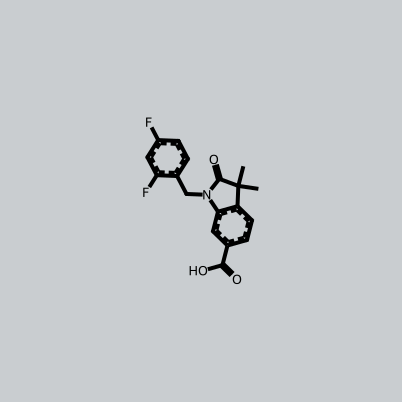 CC1(C)C(=O)N(Cc2ccc(F)cc2F)c2cc(C(=O)O)ccc21